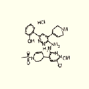 CS(=O)(=O)N1C=CC(c2cc(Cl)nnc2N)CC1.Cl.Cl.Nc1nnc(-c2ccccc2O)cc1C1=CCNCC1